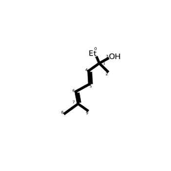 CCC(C)(O)C=CC=C(C)C